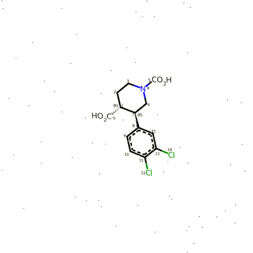 O=C(O)[C@@H]1CCN(C(=O)O)C[C@H]1c1ccc(Cl)c(Cl)c1